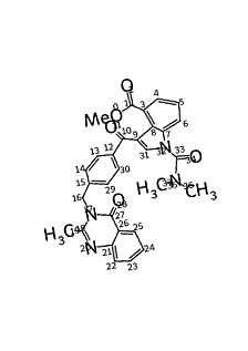 COC(=O)c1cccc2c1c(C(=O)c1ccc(Cn3c(C)nc4ccccc4c3=O)cc1)cn2C(=O)N(C)C